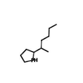 CCCCC(C)C1CCCP1